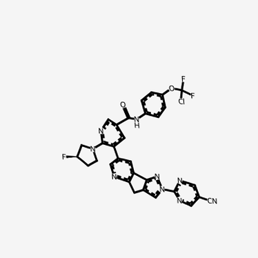 N#Cc1cnc(-n2cc3c(n2)-c2cc(-c4cc(C(=O)Nc5ccc(OC(F)(F)Cl)cc5)cnc4N4CC[C@@H](F)C4)cnc2C3)nc1